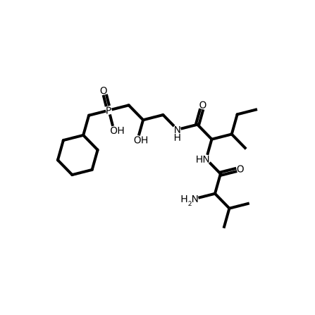 CCC(C)C(NC(=O)C(N)C(C)C)C(=O)NCC(O)CP(=O)(O)CC1CCCCC1